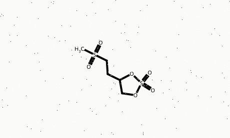 CS(=O)(=O)CCC1COS(=O)(=O)O1